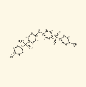 CC(C)(c1ccc(O)cc1)c1ccc(Oc2ccc(S(=O)(=O)c3ccc(O)cc3)cc2)cc1